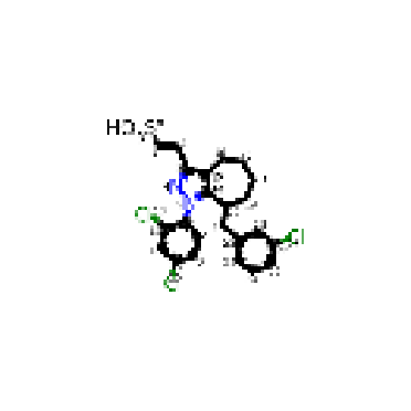 O=S(=O)(O)/C=C/c1nn(-c2ccc(Cl)cc2Cl)c2c1CCCCC2Cc1cccc(Cl)c1